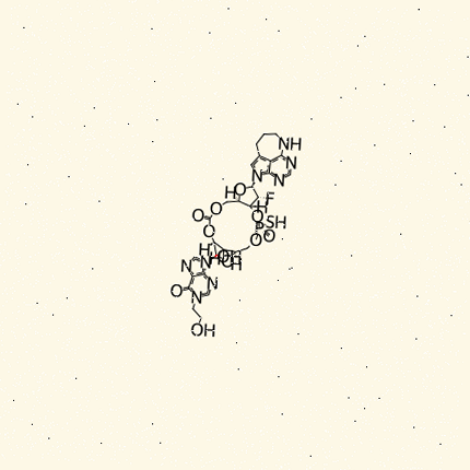 O=C1OC[C@H]2O[C@@H](n3cc4c5c(ncnc53)NCCC4)[C@H](F)[C@@H]2O[P@](=O)(S)OC[C@H]2O[C@@H](n3cnc4c(=O)n(CCO)cnc43)[C@H](O1)[C@@H]2O